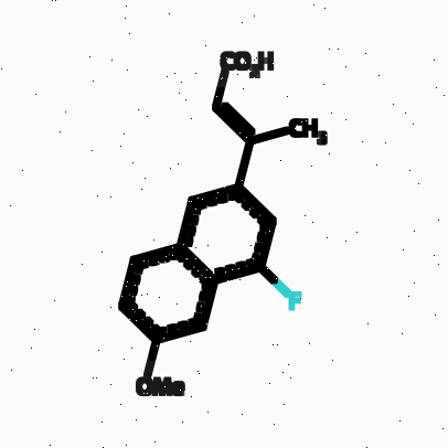 COc1ccc2cc(C(C)=CC(=O)O)cc(F)c2c1